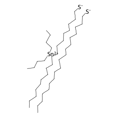 CCCCCCCCCCCCCCCCCC[S-].CCCCCCCCCCCCCCCCCC[S-].CCC[CH2][Sn+2][CH2]CCC